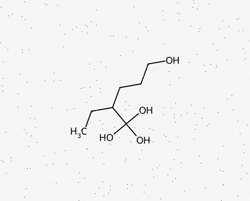 CCC(CCCO)C(O)(O)O